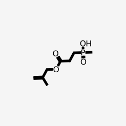 C=C(C)COC(=O)CCP(C)(=O)O